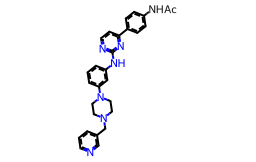 CC(=O)Nc1ccc(-c2ccnc(Nc3cccc(N4CCN(Cc5cccnc5)CC4)c3)n2)cc1